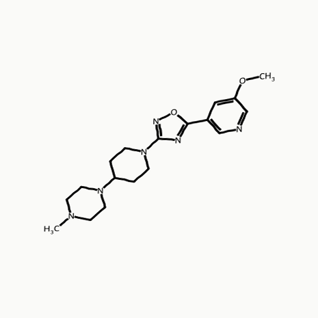 COc1cncc(-c2nc(N3CCC(N4CCN(C)CC4)CC3)no2)c1